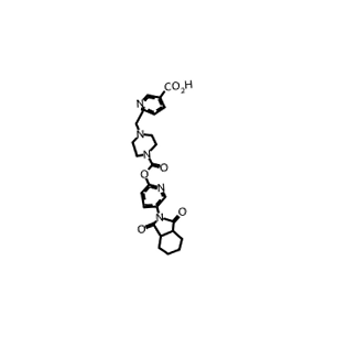 O=C(O)c1ccc(CN2CCN(C(=O)Oc3ccc(N4C(=O)C5CCCCC5C4=O)cn3)CC2)nc1